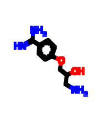 N=C(N)c1ccc(OCC(O)CN)cc1